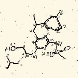 CC(C)C[C@H](CO)Nc1nc(CC(C)c2cccc(Cl)c2)nc(NS(C)(=O)=O)n1